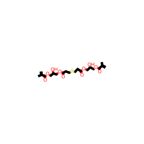 C=C(C)C(=O)OCC(O)COC(=O)CCSCCC(=O)OCC(O)COC(=O)C(=C)C